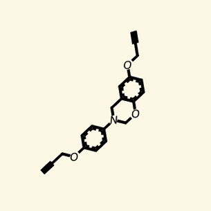 C#CCOc1ccc(N2COc3ccc(OCC#C)cc3C2)cc1